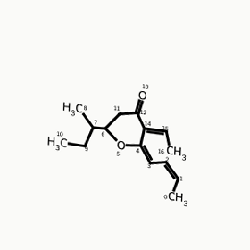 C\C=C/C=C1/OC(C(C)CC)CC(=O)/C1=C/C